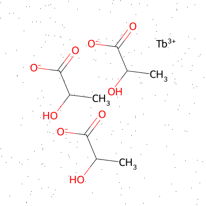 CC(O)C(=O)[O-].CC(O)C(=O)[O-].CC(O)C(=O)[O-].[Tb+3]